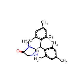 Cc1cc(C)c(C(c2c(C)cc(C)cc2C)[C@@H]2NCC(=O)N2C)c(C)c1